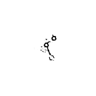 CN1CCN(C(C)(C)C#Cc2cc3c(Nc4ccc(F)c(Cl)c4)ncnc3cc2N(S(C)(=O)=O)S(C)(=O)=O)CC1